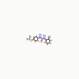 O=C(Nc1ccc(OC(F)F)cc1)Nc1ccccc1Cl